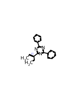 C=C/C(=C\C)c1nc(-c2ccccc2)nc(-c2ccccc2)n1